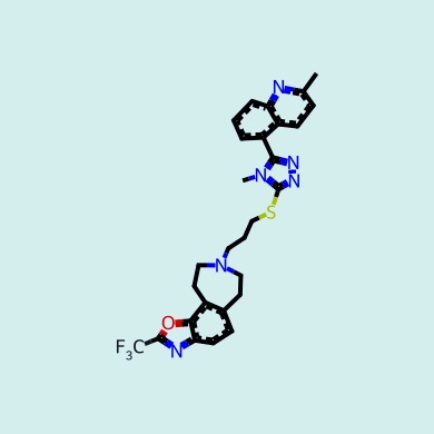 Cc1ccc2c(-c3nnc(SCCCN4CCc5ccc6nc(C(F)(F)F)oc6c5CC4)n3C)cccc2n1